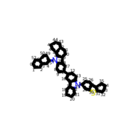 c1ccc2cc(-n3c4ccc(-c5ccc6c(c5)c5ccccc5n6-c5ccc6c(c5)sc5ccccc56)cc4c4ccc5ccccc5c43)ccc2c1